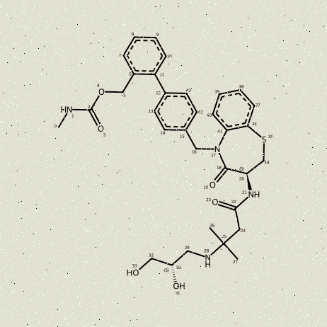 CNC(=O)OCc1ccccc1-c1ccc(CN2C(=O)[C@H](NC(=O)CC(C)(C)NC[C@H](O)CO)CSc3ccccc32)cc1